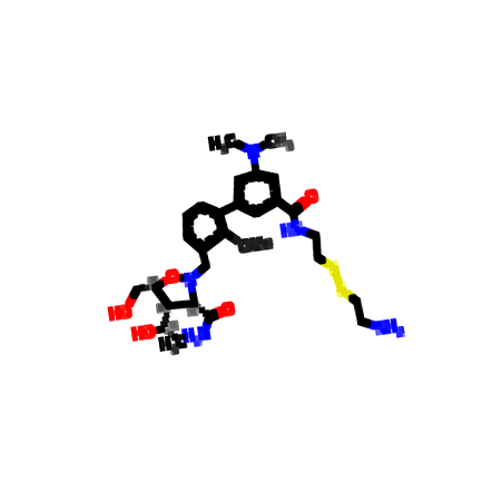 COc1c(CN2O[C@@H](CO)[C@@H]([C@H](C)O)[C@H]2C(N)=O)cccc1-c1cc(C(=O)NCCSSCCN)cc(N(C)C)c1